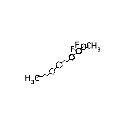 C/C=C/CCC1CCC(C2CCC(CCc3ccc(-c4ccc(OCC)c(F)c4F)cc3)CC2)CC1